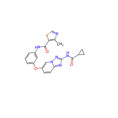 Cc1ncsc1C(=O)Nc1cccc(Oc2ccc3nc(NC(=O)C4CC4)nn3c2)c1